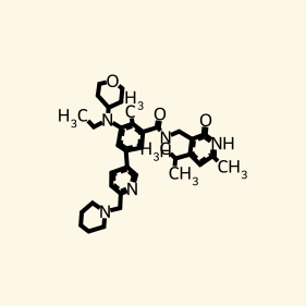 CCN(c1cc(-c2ccc(CN3CCCCC3)nc2)cc(C(=O)NCc2c(C(C)C)cc(C)[nH]c2=O)c1C)C1CCOCC1